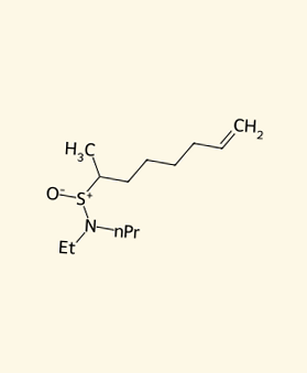 C=CCCCCC(C)[S+]([O-])N(CC)CCC